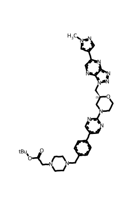 Cn1cc(-c2cnc3c(nnn3C[C@@H]3CN(c4ncc(-c5ccc(CN6CCN(CC(=O)OC(C)(C)C)CC6)cc5)cn4)CCO3)n2)cn1